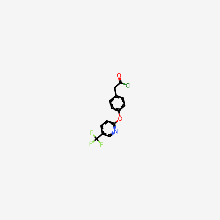 O=C(Cl)Cc1ccc(Oc2ccc(C(F)(F)F)cn2)cc1